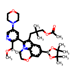 CO[C@@H](C)c1ncc(N2CCOCC2)cc1-c1c(CC(C)(C)COC(C)=O)c2cc(B3OC(C)(C)C(C)(C)O3)cc3c2n1CCO3